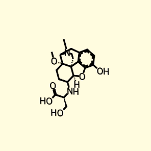 CO[C@@]12CCC(N[C@@H](CO)C(=O)O)[C@@H]3Oc4c(O)ccc5c4[C@@]31CCN(C)C2C5